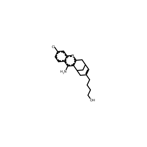 Nc1c2c(nc3cc(Cl)ccc13)CC1C=C(CCCCO)CC2C1